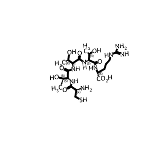 C[C@@H](O)[C@H](NC(=O)[C@@H](NC(=O)[C@@H](NC(=O)[C@@H](N)CS)[C@@H](C)O)[C@@H](C)O)C(=O)N[C@@H](CCCNC(=N)N)C(=O)O